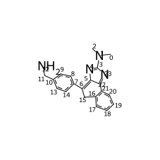 CN(C)C1=NC2=C(c3ccc(CN)cc3)Cc3ccccc3C2=N1